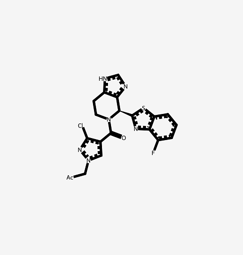 CC(=O)Cn1cc(C(=O)N2CCc3[nH]cnc3[C@H]2c2nc3c(F)cccc3s2)c(Cl)n1